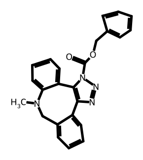 CN1Cc2ccccc2-c2nnn(C(=O)OCc3ccccc3)c2-c2ccccc21